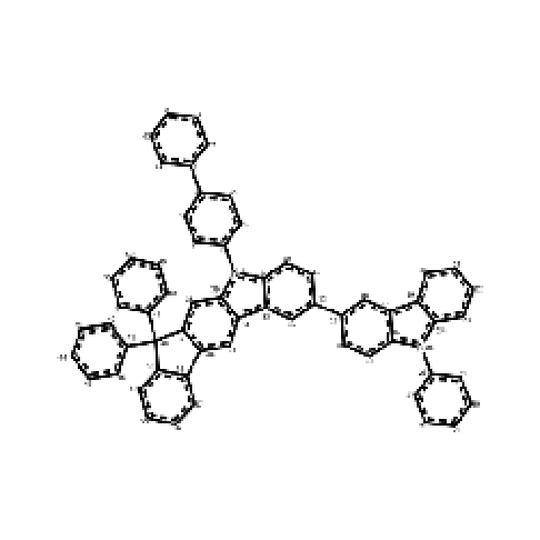 c1ccc(-c2ccc(-n3c4ccc(-c5ccc6c(c5)c5ccccc5n6-c5ccccc5)cc4c4cc5c(cc43)C(c3ccccc3)(c3ccccc3)c3ccccc3-5)cc2)cc1